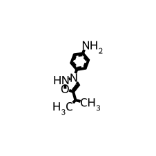 CC(C)C1=CN(c2ccc(N)cc2)NO1